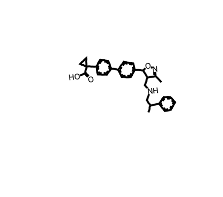 CC1=NOC(c2ccc(-c3ccc(C4(C(=O)O)CC4)cc3)cc2)C1CNCC(C)c1ccccc1